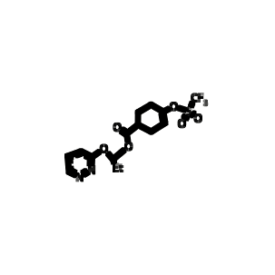 CCC(OC(=O)C1CC=C(OS(=O)(=O)C(F)(F)F)CC1)Oc1cccnn1